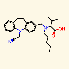 CCCCCN(Cc1ccc2c(c1)CCc1ccccc1N2CC#N)[C@H](C(=O)O)C(C)C